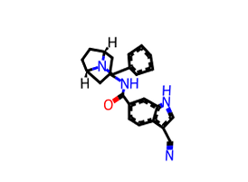 N#Cc1c[nH]c2cc(C(=O)NC3C[C@H]4CC[C@@H](C3)N4Cc3ccccc3)ccc12